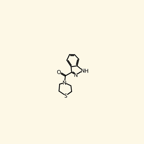 O=C(c1n[nH]c2ccccc12)N1CCSCC1